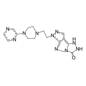 O=C1NNC2=c3cnn(CCN4CCN(c5cnccn5)CC4)c3=NCN12